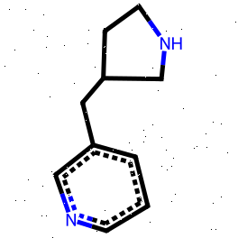 c1cncc(CC2CCNC2)c1